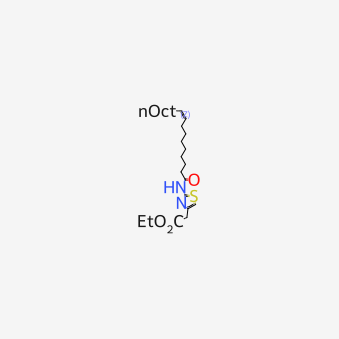 CCCCCCCC/C=C\CCCCCCCC(=O)Nc1nc(CC(=O)OCC)cs1